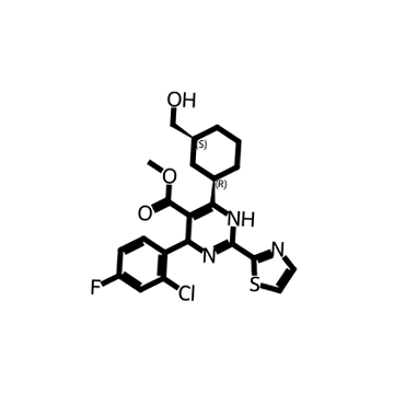 COC(=O)C1=C([C@@H]2CCC[C@H](CO)C2)NC(c2nccs2)=NC1c1ccc(F)cc1Cl